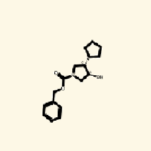 O=C(OCc1ccccc1)N1C[C@H](C2CCCC2)[C@@H](O)C1